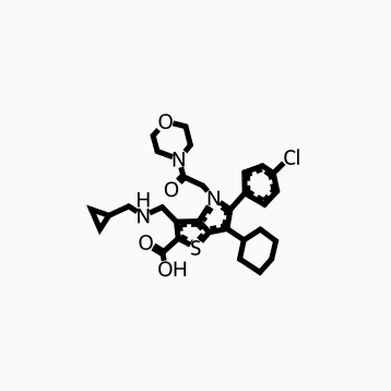 O=C(O)c1sc2c(C3CCCCC3)c(-c3ccc(Cl)cc3)n(CC(=O)N3CCOCC3)c2c1CNCC1CC1